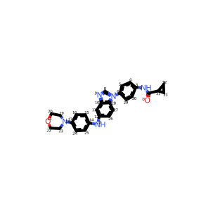 O=C(Nc1ccc(-n2cnc3cc(Nc4ccc(N5CCOCC5)cc4)ccc32)cc1)C1CC1